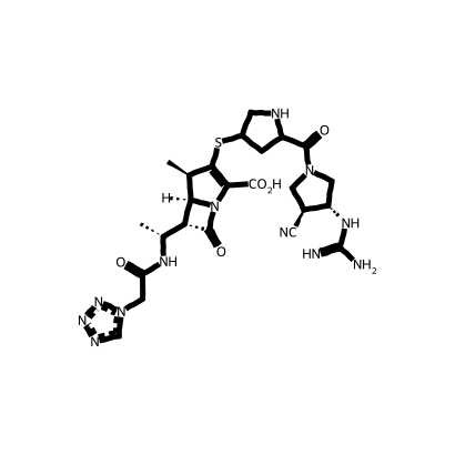 C[C@@H](NC(=O)Cn1cnnn1)[C@H]1C(=O)N2C(C(=O)O)=C(SC3CNC(C(=O)N4C[C@H](NC(=N)N)[C@@H](C#N)C4)C3)[C@H](C)[C@H]12